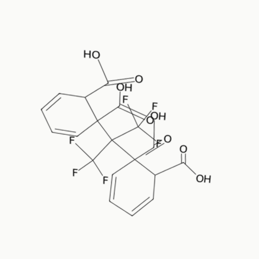 O=C(O)C1C=CC=CC1(C(=O)O)C(C(F)(F)F)(C(F)(F)F)C1(C(=O)O)C=CC=CC1C(=O)O